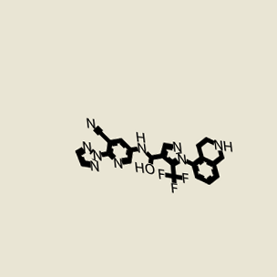 N#Cc1cc(NC(O)c2cnn(-c3cccc4c3CCNC4)c2C(F)(F)F)cnc1-n1nccn1